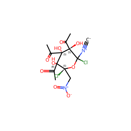 [C-]#[N+]C1(Cl)O[C@](Cl)(C[N+](=O)[O-])[C@](O)(C(C)=O)[C@@](O)(C(C)=O)[C@]1(O)C(C)=O